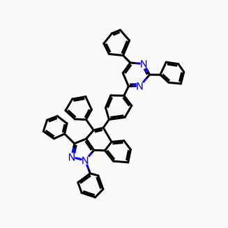 c1ccc(-c2cc(-c3ccc(-c4c(-c5ccccc5)c5c(-c6ccccc6)nn(-c6ccccc6)c5c5ccccc45)cc3)nc(-c3ccccc3)n2)cc1